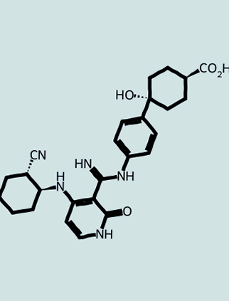 N#C[C@H]1CCCC[C@@H]1Nc1cc[nH]c(=O)c1C(=N)Nc1ccc([C@]2(O)CC[C@H](C(=O)O)CC2)cc1